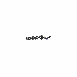 C=CCC/C=C\CCON1C(C)(C)CC(C2CCC(c3ccc(-c4ccc(OC)cc4)cc3)OC2)CC1(C)C